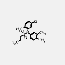 CCCS(=O)(=O)N(c1ccc(C)c(C)c1)c1cc(Cl)ccc1C